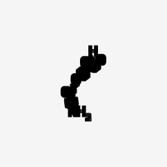 NC1CCN(C(=O)CCCOc2ccc(C3CCC(=O)NC3=O)cc2)CC1